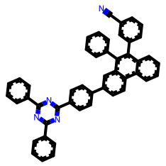 N#Cc1cccc(-c2c(-c3ccccc3)c3cc(-c4ccc(-c5nc(-c6ccccc6)nc(-c6ccccc6)n5)cc4)ccc3c3ccccc23)c1